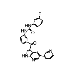 O=C(Nc1cccc(F)c1)Nc1cccc(C(=O)c2c[nH]c3ncc(-c4cccnc4)cc23)c1